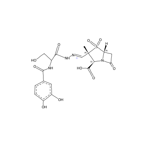 C[C@]1(/C=N/NC(=O)C(CO)NC(=O)c2ccc(O)c(O)c2)[C@H](C(=O)O)N2C(=O)C[C@H]2S1(=O)=O